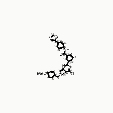 COc1ccc(Cn2cc3nc(-c4cccc(C(=O)Nc5ccc(-c6cnco6)cc5)c4)nc(Cl)c3n2)cc1